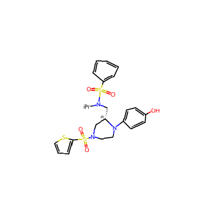 CC(C)N(C[C@H]1CN(S(=O)(=O)c2cccs2)CCN1c1ccc(O)cc1)S(=O)(=O)c1ccccc1